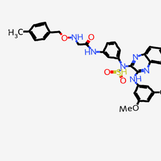 COc1cc(Nc2nc3ccccc3nc2N(c2cccc(NC(=O)CNOCc3ccc(C)cc3)c2)[SH](=O)=O)cc(OC)c1